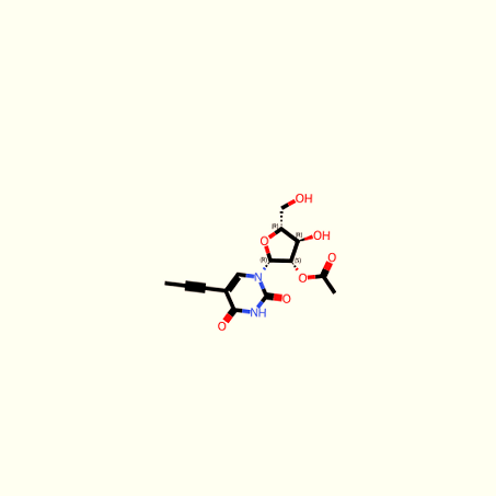 CC#Cc1cn([C@@H]2O[C@H](CO)[C@@H](O)[C@@H]2OC(C)=O)c(=O)[nH]c1=O